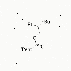 CCCCC(CC)COC(=O)C(C)CCC